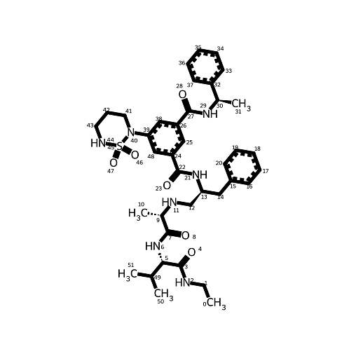 CCNC(=O)[C@@H](NC(=O)[C@H](C)NC[C@H](Cc1ccccc1)NC(=O)c1cc(C(=O)N[C@H](C)c2ccccc2)cc(N2CCCNS2(=O)=O)c1)C(C)C